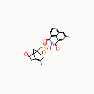 CC(C)=C1CC(=O)C12CC2(C)CS(=O)(=O)ON1C(=O)c2cccc3cc(C)cc(c23)C1=O